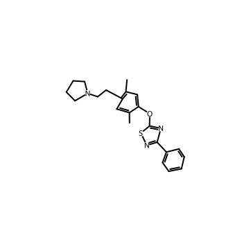 Cc1cc(Oc2nc(-c3ccccc3)ns2)c(C)cc1CCN1CCCC1